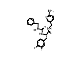 Nc1ccc(CNC(=O)[C@H](Cc2ccc(F)c(F)c2)NC(=O)[C@H](O)Cc2ccccc2)cn1